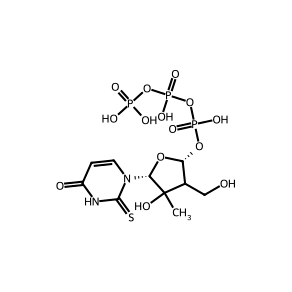 CC1(O)C(CO)[C@@H](OP(=O)(O)OP(=O)(O)OP(=O)(O)O)O[C@H]1n1ccc(=O)[nH]c1=S